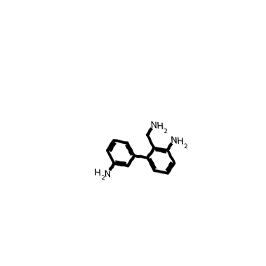 NCc1c(N)cccc1-c1cccc(N)c1